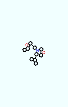 c1ccc2c(c1)cc(-c1ccc(N(c3ccc(-c4cccc5oc6c7ccccc7ccc6c45)cc3)c3cccc4oc5ccccc5c34)cc1)c1ccccc12